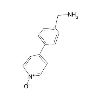 NCc1ccc(-c2cc[n+]([O-])cc2)cc1